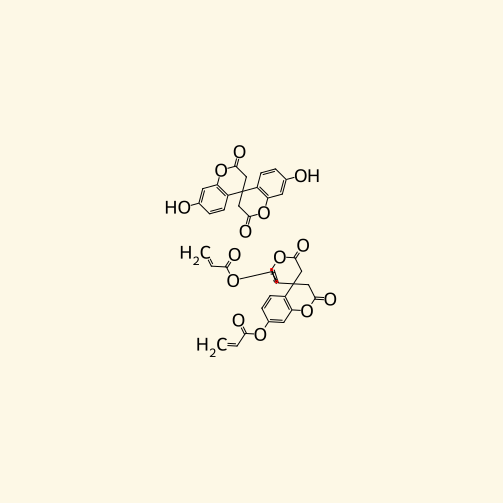 C=CC(=O)Oc1ccc2c(c1)OC(=O)CC21CC(=O)Oc2cc(OC(=O)C=C)ccc21.O=C1CC2(CC(=O)Oc3cc(O)ccc32)c2ccc(O)cc2O1